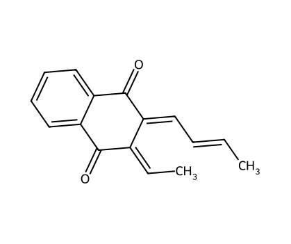 C/C=C/C=C1/C(=O)c2ccccc2C(=O)/C1=C/C